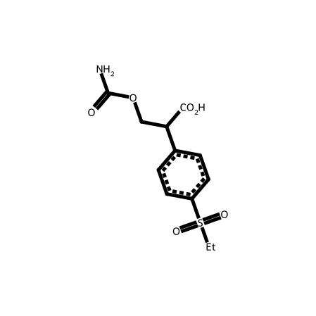 CCS(=O)(=O)c1ccc(C(COC(N)=O)C(=O)O)cc1